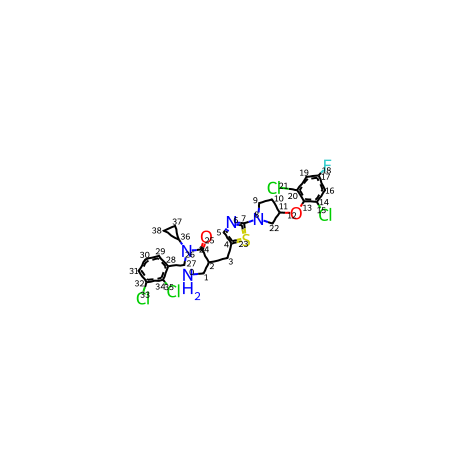 NCC(Cc1cnc(N2CCC(Oc3c(Cl)cc(F)cc3Cl)C2)s1)C(=O)N(Cc1cccc(Cl)c1Cl)C1CC1